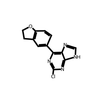 Clc1nc(-c2ccc3c(c2)CCO3)c2nc[nH]c2n1